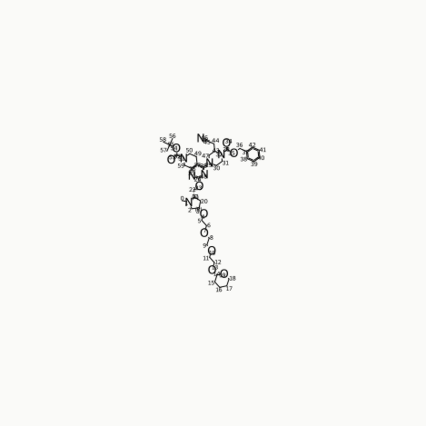 CN1C[C@H](OCCOCCOCCOC2CCCCO2)C[C@H]1COc1nc2c(c(N3CCN(C(=O)OCc4ccccc4)C(CC#N)C3)n1)CCN(C(=O)OC(C)(C)C)C2